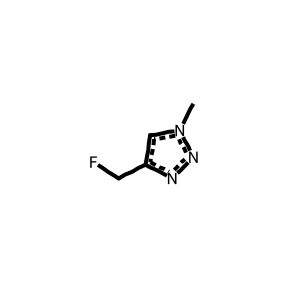 Cn1cc(CF)nn1